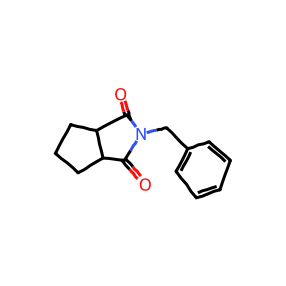 O=C1C2CCCC2C(=O)N1Cc1ccccc1